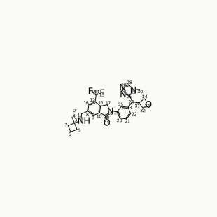 C[C@@H](NC1(C)CCC1)c1cc2c(c(C(F)F)c1)CN(c1cccc([C@@H](c3nncn3C)C3COC3)c1)C2=O